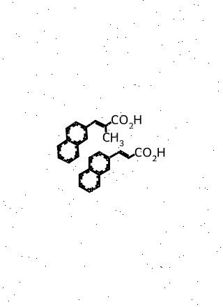 CC(=Cc1ccc2ccccc2c1)C(=O)O.O=C(O)C=Cc1ccc2ccccc2c1